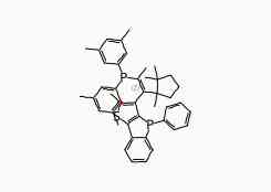 C/C(=C(/c1c(C)sc2c3ccccc3p(-c3ccccc3)c12)C1(C)CCCC1(C)C)P(c1cc(C)cc(C)c1)c1cc(C)cc(C)c1